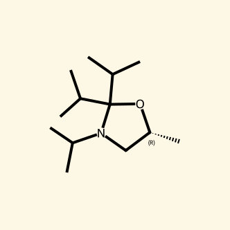 CC(C)N1C[C@@H](C)OC1(C(C)C)C(C)C